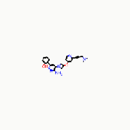 CN(C)CC#Cc1cc(OC2CN(c3cc(-c4ccccc4O)nnc3N)C2)ccn1